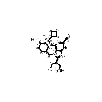 CCC(CO)c1nc2nc(C#N)nc(N[C@H](C)C3CCC3)c2n1CC1CCC(C)CC1